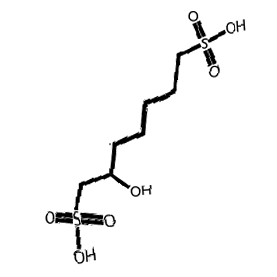 O=S(=O)(O)CCCC[CH]C(O)CS(=O)(=O)O